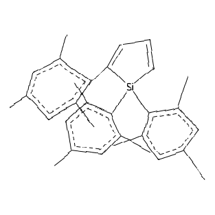 Cc1cc(C)c(C2=CC=C[Si]2(c2c(C)cc(C)cc2C)c2c(C)cc(C)cc2C)c(C)c1